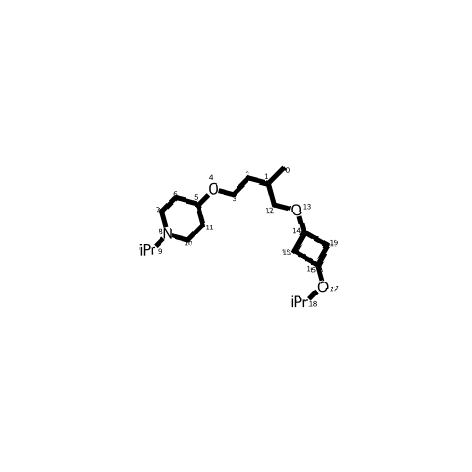 CC(CCOC1CCN(C(C)C)CC1)COC1CC(OC(C)C)C1